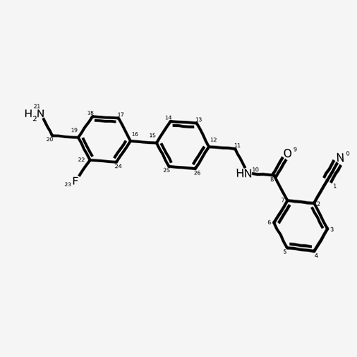 N#Cc1ccccc1C(=O)NCc1ccc(-c2ccc(CN)c(F)c2)cc1